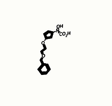 O=C(O)N(O)[C@H]1C=C[C@@H](OCCOCc2ccccc2)C1